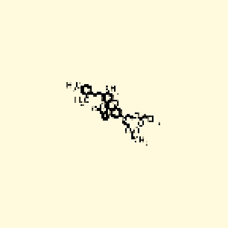 C=CC(=O)OCCN(CCOC(=O)C=C)c1ccc2c(c1)Oc1cc(C)c(CCc3ccc(C)cc3C)cc1C21OC(=O)c2ccccc21